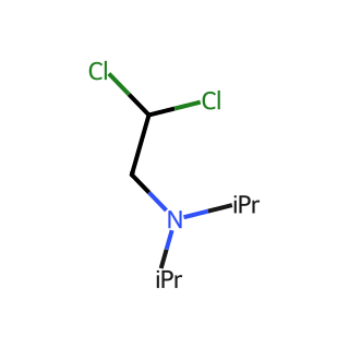 CC(C)N(CC(Cl)Cl)C(C)C